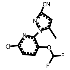 Cc1cc(C#N)nn1-c1nc(Cl)ccc1OC(F)F